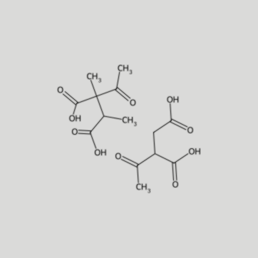 CC(=O)C(C)(C(=O)O)C(C)C(=O)O.CC(=O)C(CC(=O)O)C(=O)O